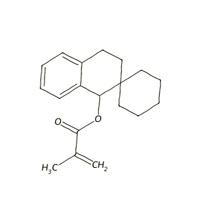 C=C(C)C(=O)OC1c2ccccc2CCC12CCCCC2